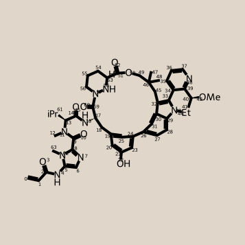 C=CC(=O)Nc1cnc(C(=O)N(C)[C@H](C(=O)N[C@H]2Cc3cc(O)cc(c3)-c3ccc4c(c3)c(c(-c3cccnc3[C@H](C)OC)n4CC)CC(C)(C)COC(=O)[C@@H]3CCCN(N3)C2=O)C(C)C)n1C